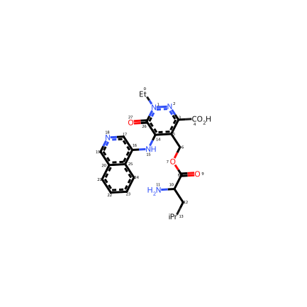 CCn1nc(C(=O)O)c(COC(=O)C(N)CC(C)C)c(Nc2cncc3ccccc23)c1=O